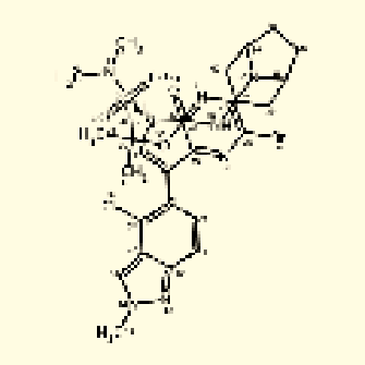 CN(C)S(=O)(=O)n1cc(-c2ccc3nn(C)cc3c2Cl)c2nc(Br)c(N3C4CCC3CC(NC(=O)OC(C)(C)C)C4)nc21